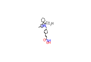 CC1CCC(C2([C@H](NCc3ccc(C=CC(=O)NO)cc3)C(=O)O)CCCCC2)C1